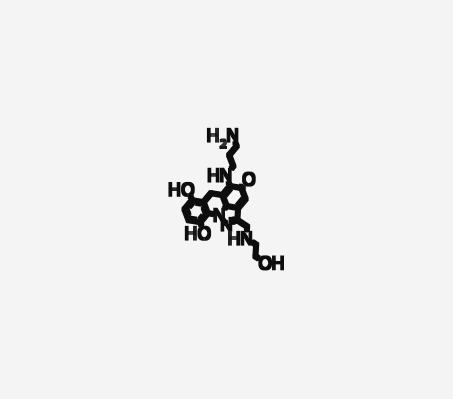 NCCCNC1=C2Cc3c(O)ccc(O)c3N3N=C(CNCCO)C(=CC1=O)C23